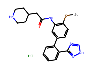 CC(C)(C)Sc1ccc(-c2ccccc2-c2nn[nH]n2)cc1NC(=O)CC1CCNCC1.Cl